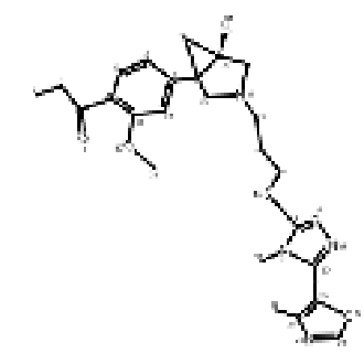 CCC(=O)c1ccc(C23C[C@@H]2CN(CCCSc2nnc(-c4ocnc4C)n2C)C3)cc1OC